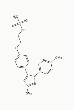 COc1ccc(-n2nc(OC)cc2-c2ccc(OCCNS(C)(=O)=O)cc2)cn1